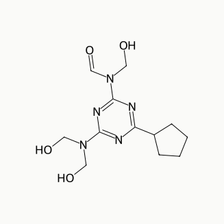 O=CN(CO)c1nc(C2CCCC2)nc(N(CO)CO)n1